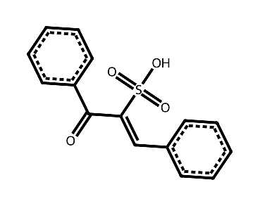 O=C(C(=Cc1ccccc1)S(=O)(=O)O)c1ccccc1